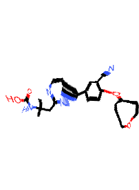 CC(C)(Cc1nccc(-c2ccc(OC3CCOCC3)c(C#N)c2)n1)NC(=O)O